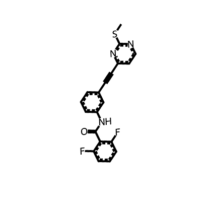 CSc1nccc(C#Cc2cccc(NC(=O)c3c(F)cccc3F)c2)n1